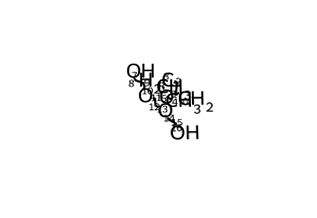 C=CC=C.COC.OCCOCCOCCO